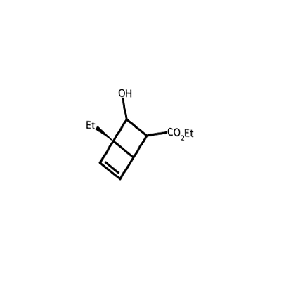 CCOC(=O)C1C(O)[C@@]2(CC)C=CC12